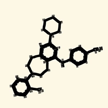 O=C(O)c1ccc(Nc2nc(N3CCCCC3)nc3c2CCN(c2ncccc2C(F)(F)F)CC3)cc1